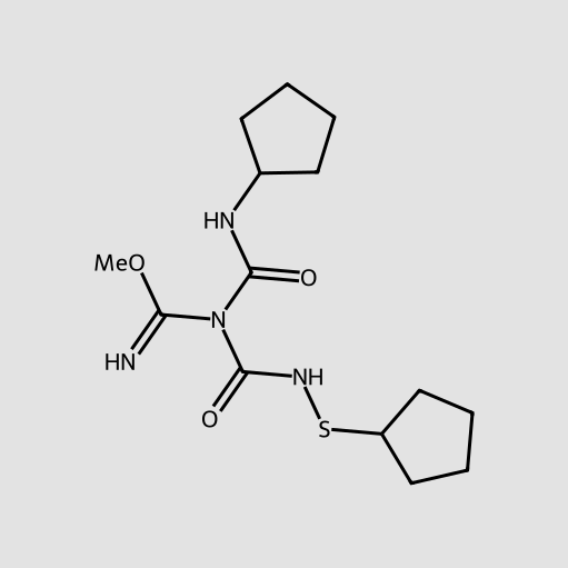 COC(=N)N(C(=O)NSC1CCCC1)C(=O)NC1CCCC1